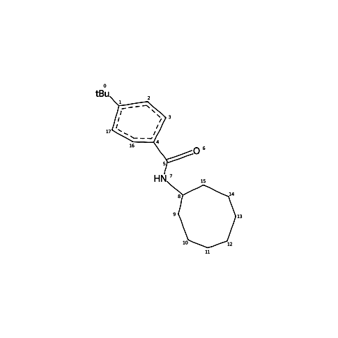 CC(C)(C)c1ccc(C(=O)NC2CCCCCCC2)cc1